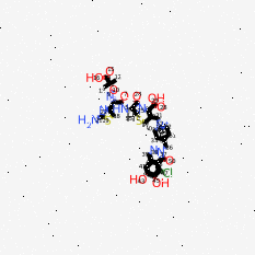 C[C@@H]1S[C@@H]2[C@H](NC(=O)/C(=N\OC(C)(C)C(=O)O)c3csc(N)n3)C(=O)N2C(C(=O)O)=C1C[N+]12CCC(Cn3ncc4cc(O)c(O)c(Cl)c4c3=O)(CC1)CC2